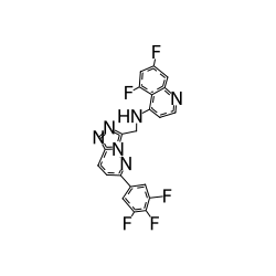 Fc1cc(F)c2c(NCc3nnc4ccc(-c5cc(F)c(F)c(F)c5)nn34)ccnc2c1